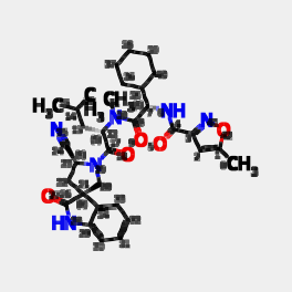 Cc1cc(C(=O)N[C@H](C(=O)N(C)[C@@H](CC(C)C)C(=O)N2C[C@]3(C[C@H]2C#N)C(=O)Nc2ccccc23)C2CCCCC2)no1